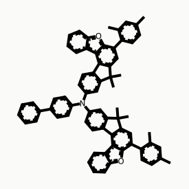 Cc1ccc(-c2cc3c(c4c2oc2ccccc24)-c2ccc(N(c4ccc(-c5ccccc5)cc4)c4ccc5c(c4)C(C)(C)c4cc(-c6ccc(C)cc6C)c6oc7ccccc7c6c4-5)cc2C3(C)C)c(C)c1